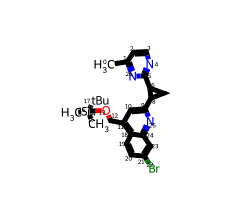 Cc1ccnc(C2CC2c2cc(CO[Si](C)(C)C(C)(C)C)c3ccc(Br)cc3n2)n1